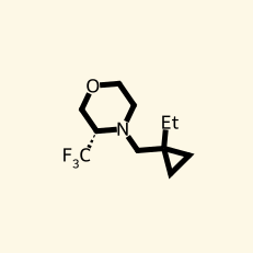 CCC1(CN2CCOC[C@H]2C(F)(F)F)CC1